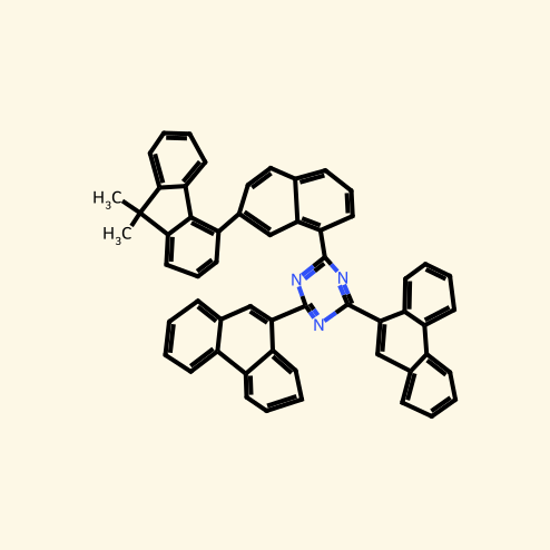 CC1(C)c2ccccc2-c2c(-c3ccc4cccc(-c5nc(-c6cc7ccccc7c7ccccc67)nc(-c6cc7ccccc7c7ccccc67)n5)c4c3)cccc21